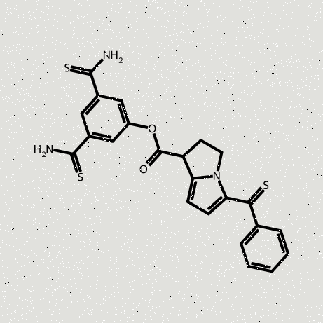 NC(=S)c1cc(OC(=O)C2CCn3c(C(=S)c4ccccc4)ccc32)cc(C(N)=S)c1